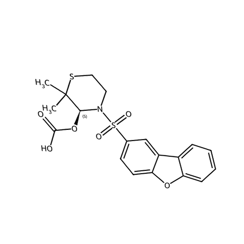 CC1(C)SCCN(S(=O)(=O)c2ccc3oc4ccccc4c3c2)[C@H]1OC(=O)O